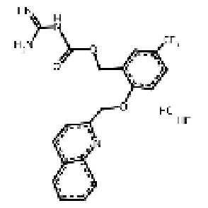 Cl.Cl.N=C(N)NC(=O)OCc1cc(C(F)(F)F)ccc1OCc1ccc2ccccc2n1